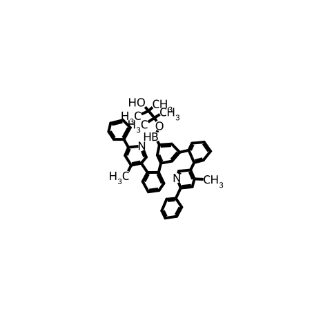 Cc1cc(-c2ccccc2)ncc1-c1ccccc1-c1cc(BOC(C)(C)C(C)(C)O)cc(-c2ccccc2-c2cnc(-c3ccccc3)cc2C)c1